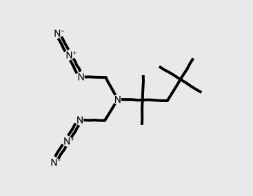 CC(C)(C)CC(C)(C)N(CN=[N+]=[N-])CN=[N+]=[N-]